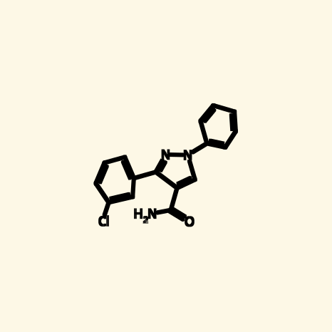 NC(=O)c1cn(-c2ccccc2)nc1-c1cccc(Cl)c1